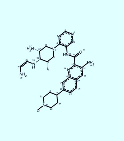 C[C@H]1CN(c2ccncc2NC(=O)c2nc3cc(C4CCN(C)CC4)ccc3cc2N)C[C@@H](N)[C@H]1N/C=C\N